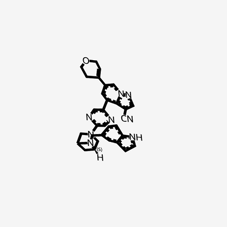 N#Cc1cnn2cc(C3=CCOCC3)cc(-c3cnc(N4CC5C[C@@H](C4)N5Cc4ccc5[nH]ccc5c4)cn3)c12